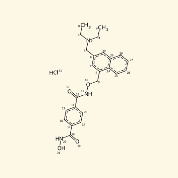 CCN(CC)Cc1cc(CONC(=O)c2ccc(C(=O)NO)cc2)c2ccccc2c1.Cl